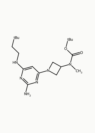 CN(C(=O)OC(C)(C)C)C1CN(c2cc(NCCC(C)(C)C)nc(N)n2)C1